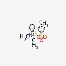 Cc1ccc(S(=O)(=O)[O-])cc1.Cc1sc2ccccc2[n+]1C